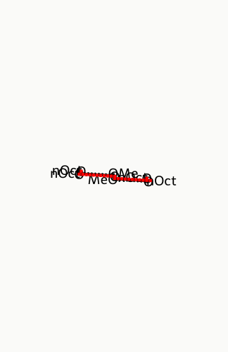 CCCCCCCCOC(CCCCCCCCCCCCCCCC=CC(OC)OC(C=CCCCCCCCCCCCCCCCC(OCCCCCCCC)OCCCCCCCC)OC)OCCCCCCCC